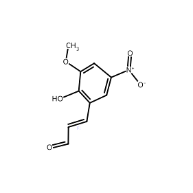 COc1cc([N+](=O)[O-])cc(/C=C/C=O)c1O